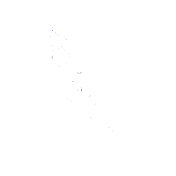 CN(C)C1CCC2=CC3=CCC4(C)C(c5ccc6cn[nH]c6c5)=CC[C@H]4[C@@]34CC[C@]2(C1)O4